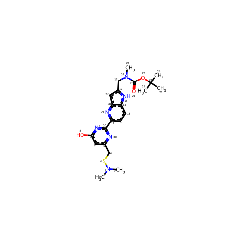 CN(C)SCc1cc(O)nc(-c2ccc3[nH]c(CN(C)C(=O)OC(C)(C)C)cc3n2)n1